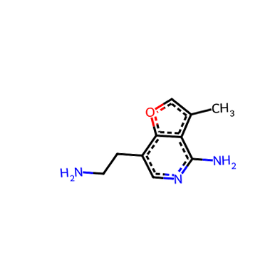 Cc1coc2c(CCN)cnc(N)c12